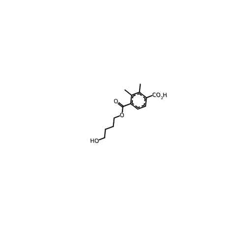 Cc1c(C(=O)O)ccc(C(=O)OCCCCO)c1C